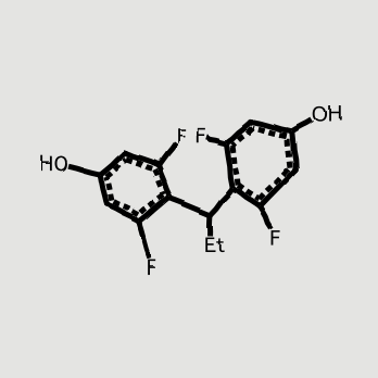 CCC(c1c(F)cc(O)cc1F)c1c(F)cc(O)cc1F